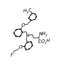 Cc1cccc(COc2ccccc2CN(CC[C@@H](N)C(=O)O)Cc2ccccc2OCCF)c1